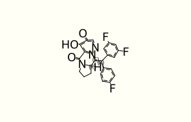 O=C1c2c(O)c(=O)cnn2[C@@H]([C@H](c2ccc(F)cc2)c2cc(F)cc(F)c2)[C@H]2CCCN12